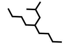 CCCC[C](CCCC)CC(C)C